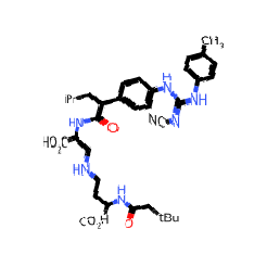 Cc1ccc(NC(=NC#N)Nc2ccc(C(CC(C)C)C(=O)NC(CNCCC(NC(=O)CC(C)(C)C)C(=O)O)C(=O)O)cc2)cc1